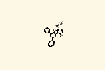 OBc1ccc(Cl)c2c1oc1c(-c3ccccc3)cc(-c3ccccc3)cc12